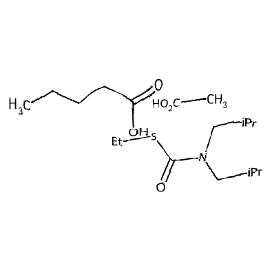 CC(=O)O.CCCCC(=O)O.CCSC(=O)N(CC(C)C)CC(C)C